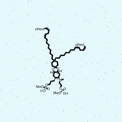 CCCCC/C=C\C/C=C\CCCCCCCCC1(CCCCCCCC/C=C\C/C=C\CCCCC)CCC2(CC1)O[C@H]1C[C@@H](N(C)CCOP(=O)(O)OC)[C@@H](CCCOP(=O)(O)OC)C[C@H]1O2